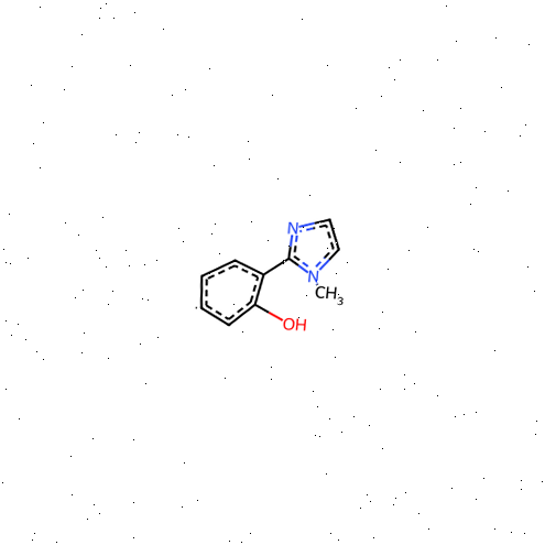 Cn1ccnc1-c1cc[c]cc1O